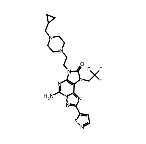 Nc1nc2c(c3nc(-c4ccns4)nn13)n(CC(F)(F)F)c(=O)n2CCN1CCN(CC2CC2)CC1